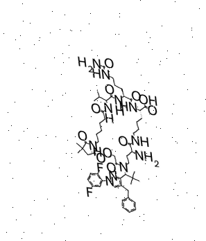 CC(C)C(NC(=O)CCCCCN1C(=O)CC(C)(C)C1=O)C(=O)N[C@@H](CCCNC(N)=O)C(=O)N[C@@H](CCCCNC(=O)[C@@H](N)CCN(C(=O)CO)[C@@H](c1nn(-c2cc(F)ccc2F)cc1Cc1ccccc1)C(C)(C)C)C(=O)O